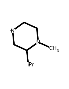 CC(C)C1C[N]CCN1C